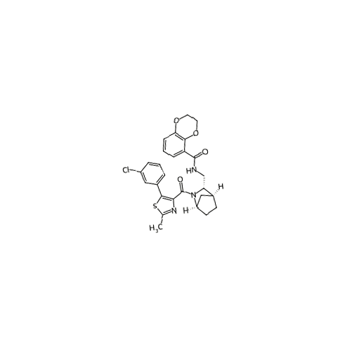 Cc1nc(C(=O)N2[C@@H]3CC[C@@H](C3)[C@H]2CNC(=O)c2cccc3c2OCCO3)c(-c2cccc(Cl)c2)s1